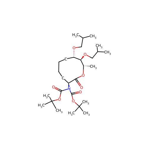 CC(C)CO[C@H]1[C@H](C)OC(=O)[C@@H](N(C(=O)OC(C)(C)C)C(=O)OC(C)(C)C)CCCC[C@@H]1OCC(C)C